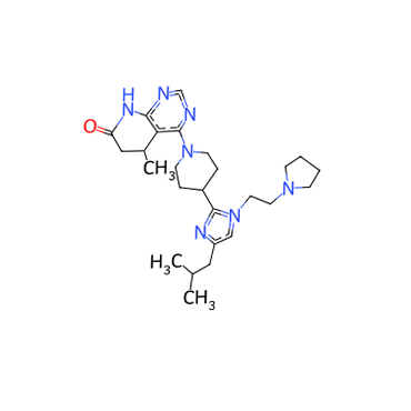 CC(C)Cc1cn(CCN2CCCC2)c(C2CCN(c3ncnc4c3C(C)CC(=O)N4)CC2)n1